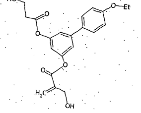 C=C(CO)C(=O)Oc1cc(OC(=O)CCO)cc(-c2ccc(OCC)cc2)c1